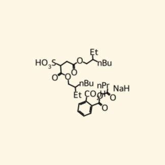 CCCC(=O)OC(=O)c1ccccc1C(=O)O.CCCCC(CC)COC(=O)CC(C(=O)OCC(CC)CCCC)S(=O)(=O)O.[NaH]